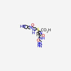 C[C@@H](NC(=O)Cn1cnnn1)[C@H]1C(=O)N2C(C(=O)O)=C(S[C@@H]3CNC(C(=O)N4CCC5(CC6CCC(C5)N6)C4)C3)[C@H](C)[C@H]12